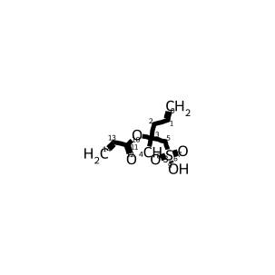 C=CCC(C)(CS(=O)(=O)O)OC(=O)C=C